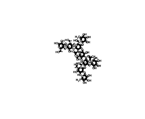 CC(=O)N[C@H]1[C@H](O[C@H]2[C@@H](O)[C@@H](CO)O[C@@H](O[C@H]3[C@H](O)[C@@H](O)[C@H](O)O[C@@H]3CO)[C@@H]2O)O[C@H](CO)[C@@H](O[C@@H]2O[C@@H](C)[C@@H](O)[C@@H](O)[C@@H]2O)[C@@H]1O[C@@H]1O[C@H](CO)[C@H](O)[C@H](O[C@@H]2O[C@H](CO)[C@@H](O[C@@H]3O[C@H](CO)[C@H](O)[C@H](O)[C@H]3O[C@@H]3O[C@@H](C)[C@@H](O)[C@@H](O)[C@@H]3O)[C@H](O[C@@H]3O[C@@H](C)[C@@H](O)[C@@H](O)[C@@H]3O)[C@H]2NC(C)=O)[C@H]1O